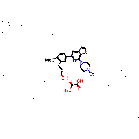 CCN1CCN(c2nc(-c3ccc(OC)c(CCCO)c3)cc3ccsc23)CC1.O=C(O)C(=O)O